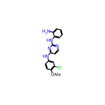 COc1ccc(Nc2ccnc(Nc3ccccc3N)n2)cc1Cl